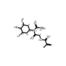 C=C(C)C(=O)OCC(=O)N(C(=O)C(C)(C)C)C1CC(F)C(F)C(F)C1